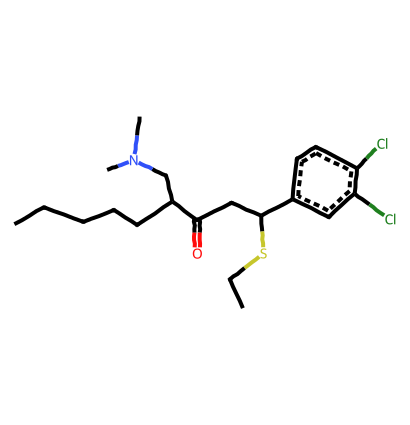 CCCCCC(CN(C)C)C(=O)CC(SCC)c1ccc(Cl)c(Cl)c1